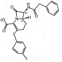 O=C(Cc1ccccc1)N[C@@H]1C(=O)N2C(C(=O)O)=C(Sc3ccc(I)cc3)CS[C@@H]12